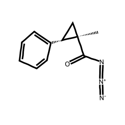 C[C@@]1(C(=O)N=[N+]=[N-])C[C@H]1c1ccccc1